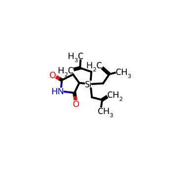 C=C(C)C[Si](CC(=C)C)(CC(=C)C)C1CC(=O)NC1=O